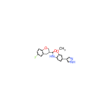 COc1cc(-c2cn[nH]c2)ccc1NC(=O)C1COc2ccc(F)cc2C1